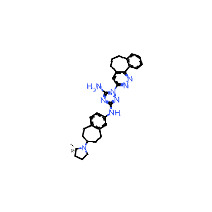 C[C@H]1CCCN1C1CCc2ccc(Nc3nc(N)n(-c4cc5c(nn4)-c4ccccc4CCC5)n3)cc2CC1